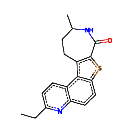 CCc1ccc2c(ccc3sc4c(c32)CCC(C)NC4=O)n1